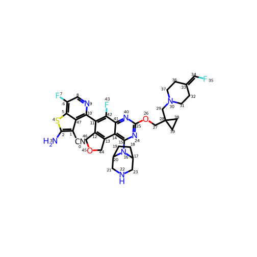 N#Cc1c(N)sc2c(F)cnc(-c3c4c(c5c(N6C7CCC6CNC7)nc(OCC6(CN7CCC(=CF)CC7)CC6)nc5c3F)COC4)c12